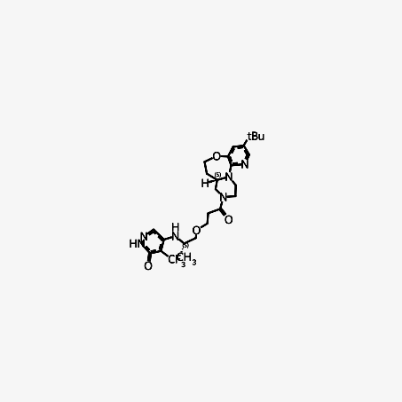 C[C@@H](COCCC(=O)N1CCN2c3ncc(C(C)(C)C)cc3OCC[C@H]2C1)Nc1cn[nH]c(=O)c1C(F)(F)F